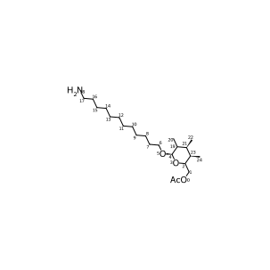 CC(=O)OCC1O[C@@H](OCCCCCCCCCCCCN)C(C)[C@@H](C)[C@H]1C